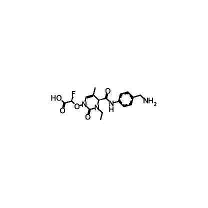 CCN1C(=O)N(O[C@H](F)C(=O)O)C=C(C)[C@H]1C(=O)Nc1ccc(CN)cc1